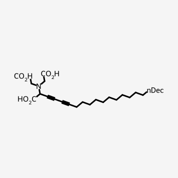 CCCCCCCCCCCCCCCCCCCCCC#CC#CC(C(=O)O)N(CC(=O)O)CC(=O)O